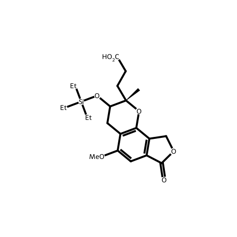 CC[Si](CC)(CC)OC1Cc2c(OC)cc3c(c2O[C@@]1(C)CCC(=O)O)COC3=O